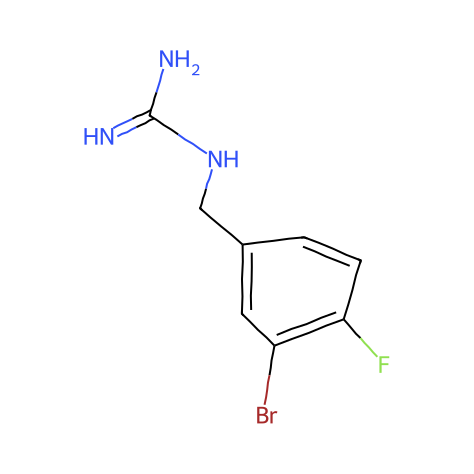 N=C(N)NCc1ccc(F)c(Br)c1